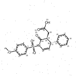 COc1ccc(S(=O)(=O)N2C=C[C@@H](c3ccccc3)[C@H](CC(=O)O)C2=O)cc1